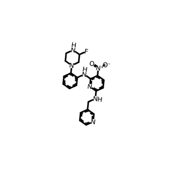 O=[N+]([O-])c1ccc(NCc2cccnc2)nc1Nc1ccccc1N1CCNC(F)C1